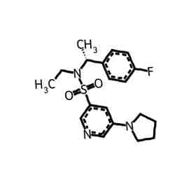 CCN([C@H](C)c1ccc(F)cc1)S(=O)(=O)c1cncc(N2CCCC2)c1